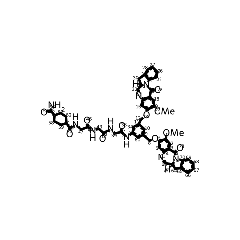 COc1cc2c(cc1OCc1cc(COc3cc4c(cc3OC)C(=O)N3c5ccccc5C[C@H]3C=N4)cc(NC(=O)CNC(=O)CNC(=O)CNC(=O)C3CCC(C(N)=O)CC3)c1)N=C[C@@H]1Cc3ccccc3N1C2=O